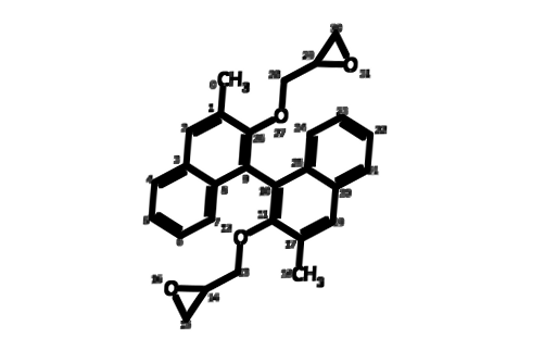 Cc1cc2ccccc2c(-c2c(OCC3CO3)c(C)cc3ccccc23)c1OCC1CO1